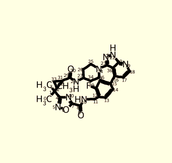 CC(C)(C)c1noc(C(=O)NCc2ccc(-c3ccnc4[nH]nc(N5CCC(NC(=O)C6CC6)CC5)c34)cc2F)n1